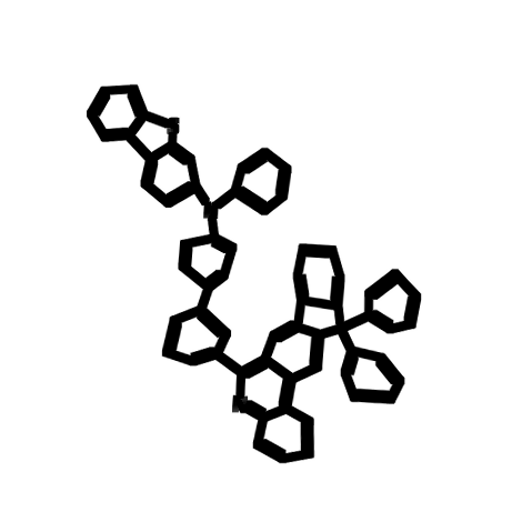 c1ccc(N(c2ccc(-c3cccc(-c4nc5ccccc5c5cc6c(cc45)-c4ccccc4C6(c4ccccc4)c4ccccc4)c3)cc2)c2ccc3c(c2)sc2ccccc23)cc1